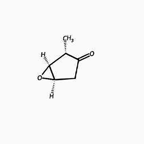 C[C@@H]1C(=O)C[C@H]2O[C@@H]12